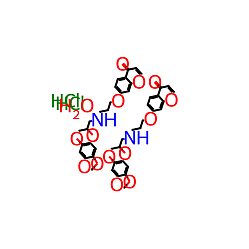 Cl.Cl.O.O=c1ccoc2cc(OCCCNCC3COc4cc5c(cc4O3)OCO5)ccc12.O=c1ccoc2cc(OCCCNCC3COc4cc5c(cc4O3)OCO5)ccc12